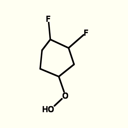 OOC1CCC(F)C(F)C1